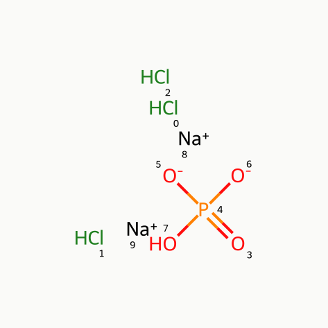 Cl.Cl.Cl.O=P([O-])([O-])O.[Na+].[Na+]